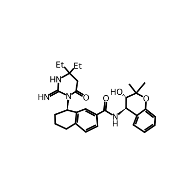 CCC1(CC)CC(=O)N([C@@H]2CCCc3ccc(C(=O)N[C@@H]4c5ccccc5OC(C)(C)[C@H]4O)cc32)C(=N)N1